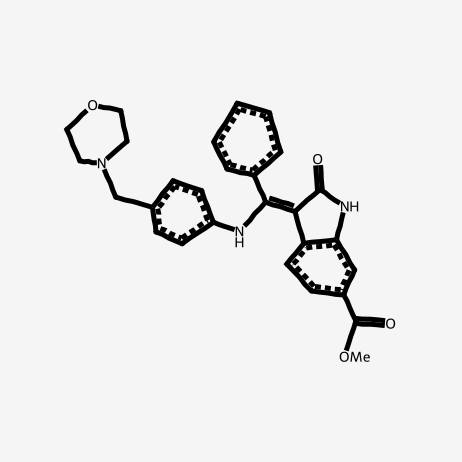 COC(=O)c1ccc2c(c1)NC(=O)C2=C(Nc1ccc(CN2CCOCC2)cc1)c1ccccc1